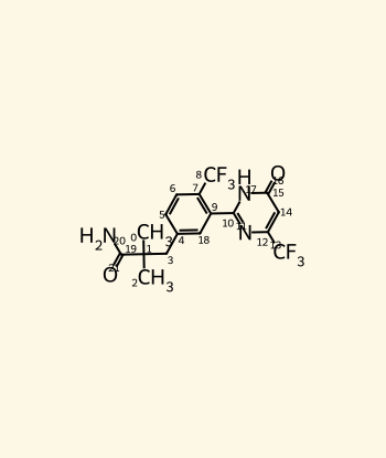 CC(C)(Cc1ccc(C(F)(F)F)c(-c2nc(C(F)(F)F)cc(=O)[nH]2)c1)C(N)=O